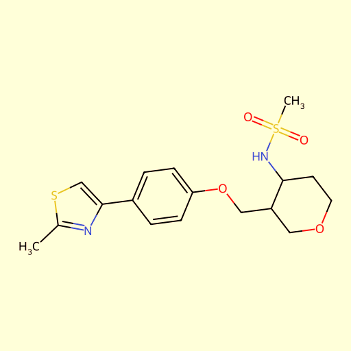 Cc1nc(-c2ccc(OCC3COCCC3NS(C)(=O)=O)cc2)cs1